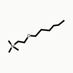 CCCCCCOCC[N+](C)(C)C